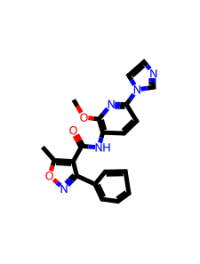 COc1nc(-n2ccnc2)ccc1NC(=O)c1c(-c2ccccc2)noc1C